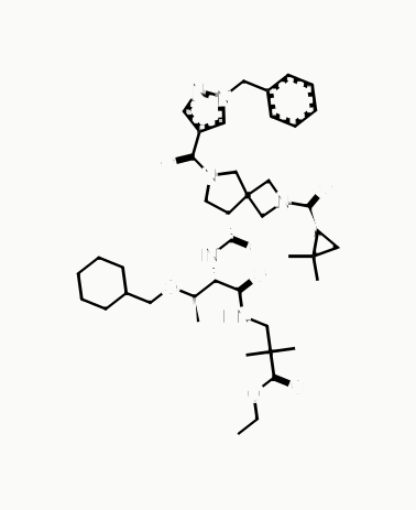 CCOC(=O)C(C)(C)CNC(=O)[C@@H](NC(=O)[C@@H]1CN(C(=O)c2cnn(Cc3ccccc3)c2)CC12CN(C(=O)[C@H]1CC1(C)C)C2)[C@@H](C)OCC1CCCCC1